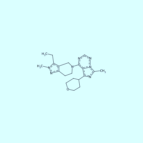 CCc1c2c(nn1C)CCN(c1ncnn3c(C)nc(C4CCOCC4)c13)C2